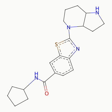 O=C(NC1CCCC1)c1ccc2nc(N3CCCC4NCCC43)sc2c1